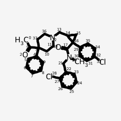 CC(=O)C1(c2ccccc2)CCN(CC2CC2(C(=O)N(C)Cc2ccccc2Cl)c2ccc(Cl)cc2)CC1